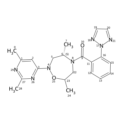 Cc1cc(N2C[C@H](C)N(C(=O)c3ccccc3-n3nccn3)CC(C)O2)nc(C)n1